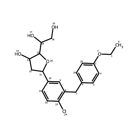 CCOc1ccc(Cc2cc(C3CC(O)C(C(O)CO)O3)ccc2Cl)cc1